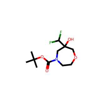 CC(C)(C)OC(=O)N1CCOCC(O)(C(F)F)C1